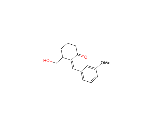 COc1cccc(C=C2C(=O)CCCC2CO)c1